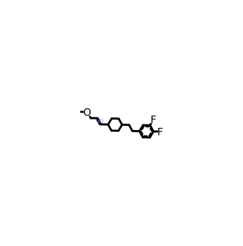 COC/C=C/C1CCC(CCc2ccc(F)c(F)c2)CC1